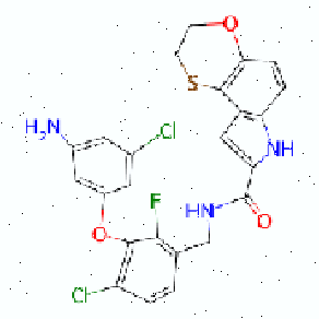 Nc1cc(Cl)cc(Oc2c(Cl)ccc(CNC(=O)c3cc4c5c(ccc4[nH]3)OCCS5)c2F)c1